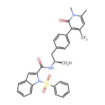 Cc1cc(C(F)(F)F)c(-c2ccc(C[C@H](NC(=O)c3cc4ccccc4n3S(=O)(=O)c3ccccc3)C(=O)O)cc2)c(=O)n1C